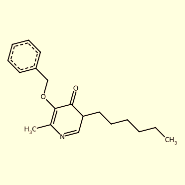 CCCCCCC1C=NC(C)=C(OCc2ccccc2)C1=O